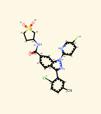 N#Cc1ccc(Cl)c(-c2nn(-c3ccc(F)cn3)c3cc(C(=O)NC4CCS(=O)(=O)C4)ccc23)c1